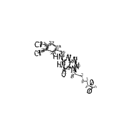 CS(=O)(=O)CCCCCn1nnc2nc(NCc3ccc(Cl)c(Cl)c3)[nH]c(=O)c21